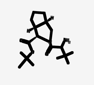 CC(C)(C)OC(=O)[C@@H]1[C@H]2CCC[C@H]2CN1C(=O)C(N)C(C)(C)C